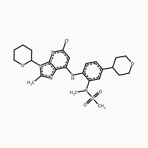 Cc1nc2c(Nc3ccc(C4CCOCC4)cc3N(C)S(C)(=O)=O)cc(Cl)nc2n1C1CCCCO1